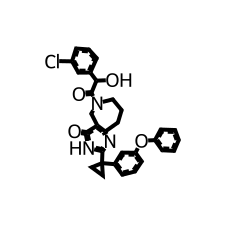 O=C(C(O)c1cccc(Cl)c1)N1CCCc2nc(C3(c4cccc(Oc5ccccc5)c4)CC3)[nH]c(=O)c2C1